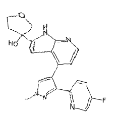 Cn1cc(-c2ccnc3[nH]c(C4(O)CCOC4)cc23)c(-c2ccc(F)cn2)n1